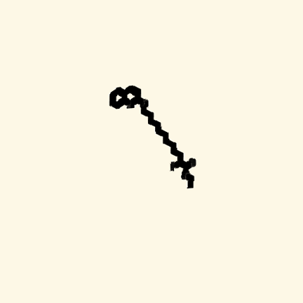 CCOC(=O)C(F)=CCCCCCCCCCOc1ccc2ccccc2n1